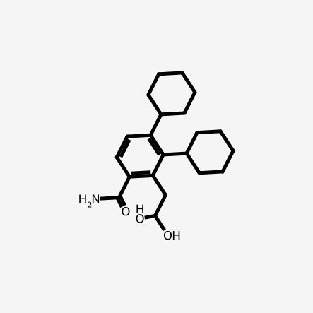 NC(=O)c1ccc(C2CCCCC2)c(C2CCCCC2)c1CC(O)O